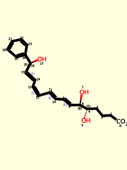 O=C(O)CCC[C@H](O)[C@H](O)/C=C/C=C/C=C\C=C\[C@H](O)c1ccccc1